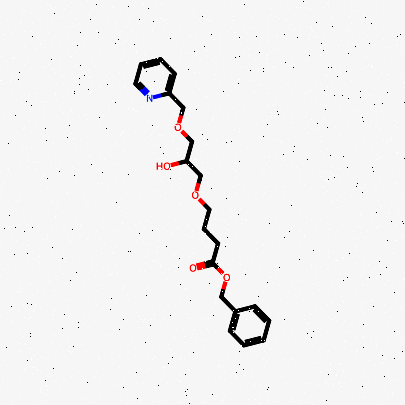 O=C(CCCOCC(O)COCc1ccccn1)OCc1ccccc1